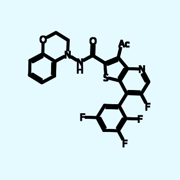 CC(=O)c1c(C(=O)NN2CCOc3ccccc32)sc2c(-c3cc(F)cc(F)c3F)c(F)cnc12